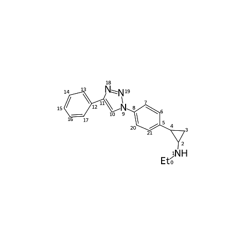 CCNC1CC1c1ccc(-n2cc(-c3ccccc3)nn2)cc1